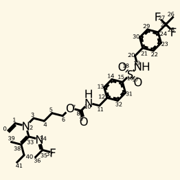 C=CN(CCCCOC(=O)NCc1ccc(S(=O)(=O)NCc2ccc(C(C)(F)F)cc2)cc1)C(/N=C(\C)F)=C(\C)CC